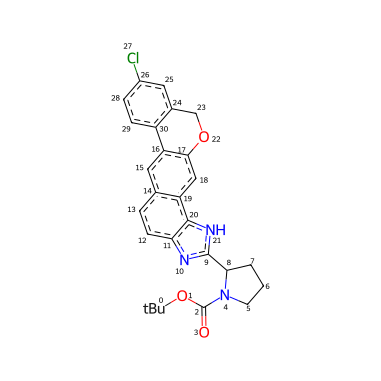 CC(C)(C)OC(=O)N1CCCC1c1nc2ccc3cc4c(cc3c2[nH]1)OCc1cc(Cl)ccc1-4